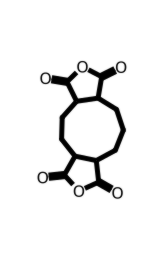 O=C1OC(=O)C2CCC3C(=O)OC(=O)C3CCCC12